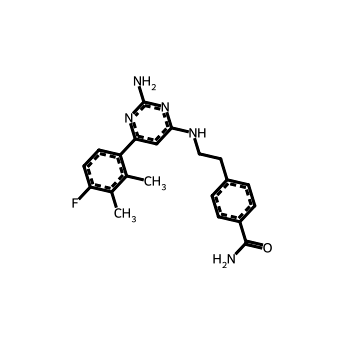 Cc1c(F)ccc(-c2cc(NCCc3ccc(C(N)=O)cc3)nc(N)n2)c1C